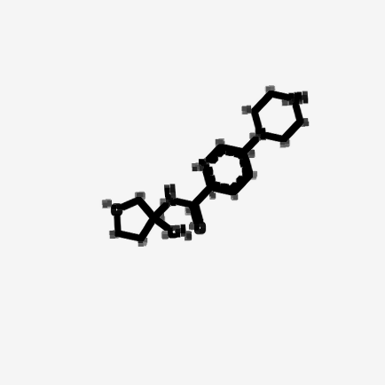 CC1(NC(=O)c2ccc(N3CCNCC3)cn2)CCOC1